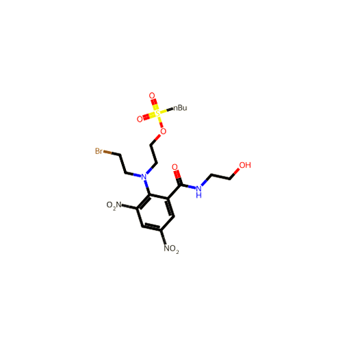 CCCCS(=O)(=O)OCCN(CCBr)c1c(C(=O)NCCO)cc([N+](=O)[O-])cc1[N+](=O)[O-]